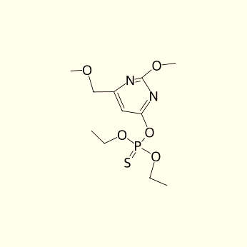 CCOP(=S)(OCC)Oc1cc(COC)nc(OC)n1